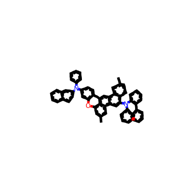 Cc1ccc2c(N(c3ccccc3)c3ccccc3-c3ccccc3)cc3c4cc(C)cc5c4c(cc3c2c1)-c1ccc(N(c2ccccc2)c2ccc3ccccc3c2)cc1O5